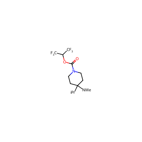 CNC1(C(C)C)CCN(C(=O)OC(C(F)(F)F)C(F)(F)F)CC1